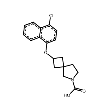 O=C(O)N1CCC2(CC(Oc3ccc(Cl)c4ccccc34)C2)C1